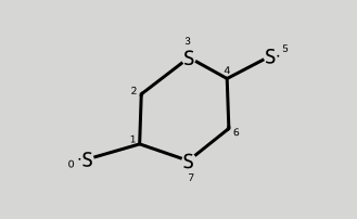 [S]C1CSC([S])CS1